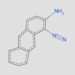 N#[N+]c1c(N)ccc2cc3ccccc3cc12